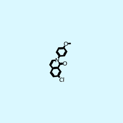 COc1ccc(-n2ccc3ccc(Cl)cc3c2=O)cc1